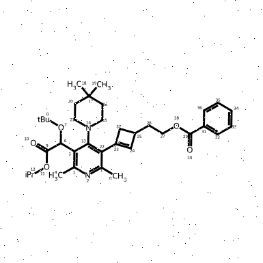 Cc1nc(C)c(C(OC(C)(C)C)C(=O)OC(C)C)c(N2CCC(C)(C)CC2)c1C1=CC(CCOC(=O)c2ccccc2)C1